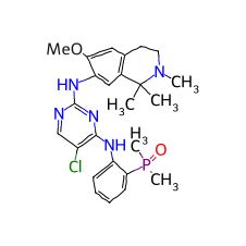 COc1cc2c(cc1Nc1ncc(Cl)c(Nc3ccccc3P(C)(C)=O)n1)C(C)(C)N(C)CC2